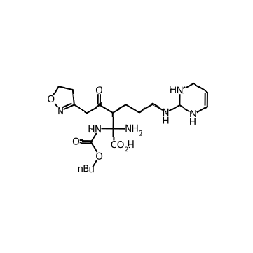 CCCCOC(=O)NC(N)(C(=O)O)C(CCCNC1NC=CCN1)C(=O)CC1=NOCC1